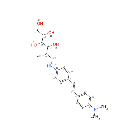 CN(C)c1ccc(/C=C/c2ccc(NCC(F)C(O)C(O)C(O)CO)cc2)cc1